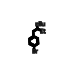 CCCCC(CC)Cc1ccc(Br)cc1